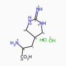 Cl.Cl.N=C1NCC(CC(N)C(=O)O)CN1